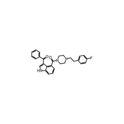 O=C(c1ccccc1)c1c[nH]c2cccc(C(=O)N3CCN(CCc4ccc(F)cc4)CC3)c12